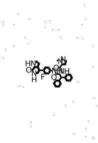 Cn1nccc1C(=O)NC(C(=O)Nc1ccc(-c2c[nH]c(=O)c3[nH]ccc23)c(F)c1)C(c1ccccc1)c1ccccc1